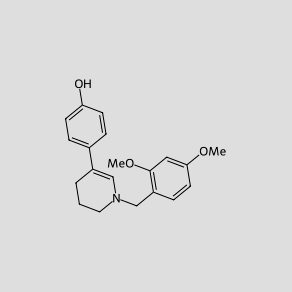 COc1ccc(CN2C=C(c3ccc(O)cc3)CCC2)c(OC)c1